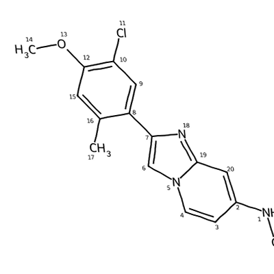 CNc1ccn2cc(-c3cc(Cl)c(OC)cc3C)nc2c1